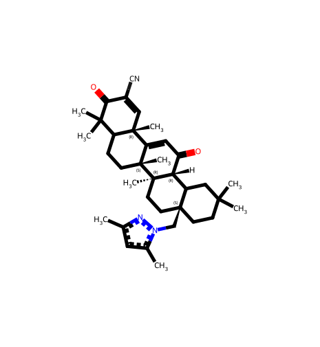 Cc1cc(C)n(C[C@]23CCC(C)(C)CC2[C@H]2C(=O)C=C4[C@@]5(C)C=C(C#N)C(=O)C(C)(C)C5CC[C@@]4(C)[C@]2(C)CC3)n1